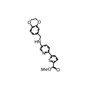 COC(=O)c1ccc(-c2ccc(NCc3ccc4c(c3)OCCO4)cn2)s1